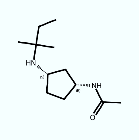 CCC(C)(C)N[C@H]1CC[C@@H](NC(C)=O)C1